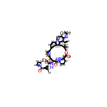 C=C/C(=C(\N=C/C)[C@H](C)OC)c1c2c3cc(ccc3n1CC)-c1csc(n1)[C@@H](OCC)[C@H](NC(=O)[C@@H]1[C@@H](C)[C@H]1C(=O)N1CCC1)C(=O)N1CCC[C@H](N1)C(=O)OCC(C)(C)C2